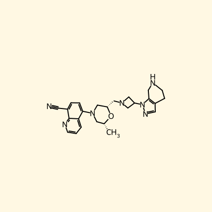 C[C@@H]1CN(c2ccc(C#N)c3ncccc23)C[C@H](CN2CC(n3ncc4c3CNCC4)C2)O1